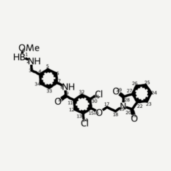 COBNCc1ccc(NC(=O)c2cc(Cl)c(OCCN3C(=O)c4ccccc4C3=O)c(Cl)c2)cc1